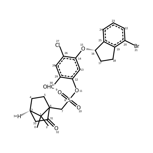 CC1(C)[C@@H]2CCC1(CS(=O)(=O)Oc1cc(O[C@H]3CCc4c(Br)cccc43)c(Cl)cc1C=O)C(=O)C2